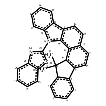 CC1(C)c2ccccc2-c2ccc3ccc4c5ccccc5n(-c5nc6ccccc6s5)c4c3c21